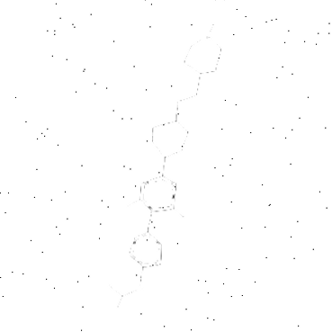 Fc1cc(C2CCC(CCC3CC[SiH](Cl)CC3)CC2)cc(F)c1-c1ccc(OC(F)F)cc1